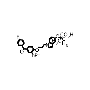 CCCc1cc(C(=O)c2ccc(F)cc2)ccc1OCCCn1ccc2cc(OC(C)(C)C(=O)O)ccc21